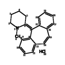 CN1CCCCC1=C1c2ccccc2C=Cc2ccccc21.Cl